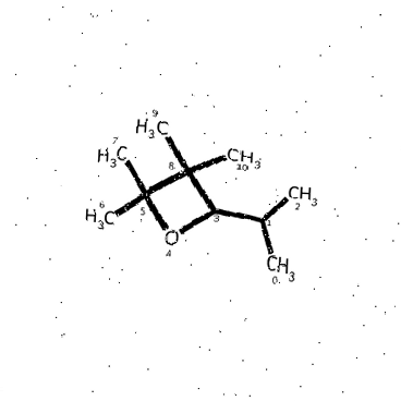 CC(C)C1OC(C)(C)C1(C)C